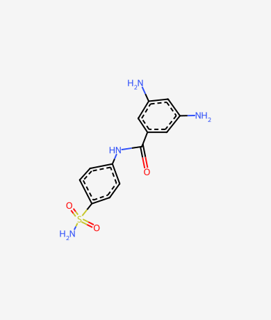 Nc1cc(N)cc(C(=O)Nc2ccc(S(N)(=O)=O)cc2)c1